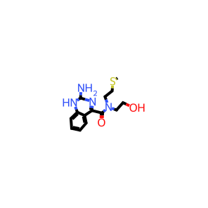 CSCCN(CCO)C(=O)C1=NC(N)Nc2ccccc21